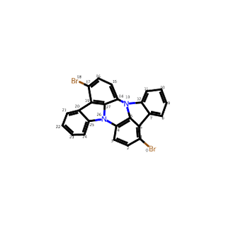 Brc1ccc2c3c1c1ccccc1n3c1ccc(Br)c3c4ccccc4n2c31